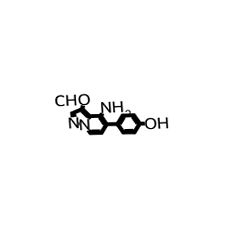 Nc1c(-c2ccc(O)cc2)ccn2ncc(C=O)c12